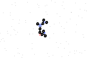 c1ccc(-c2nc(-c3ccc(-c4ccc5oc6ccc7c(-c8ccccc8)nc8ccccc8c7c6c5c4)cc3)nc(-c3ccc4c(c3)c3ccccc3n4-c3ccccc3)n2)cc1